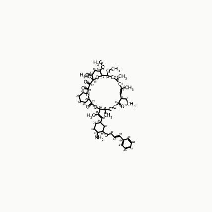 CCC1/C=C(\C)CC(C)CC(OC)C2OC(O)(C(=O)C(=O)N3CCCCC3C(=O)OC(C(C)=CC3CCC(N)C(OCC=Cc4ccccc4)C3)C(C)CCC1=O)C(C)CC2OC